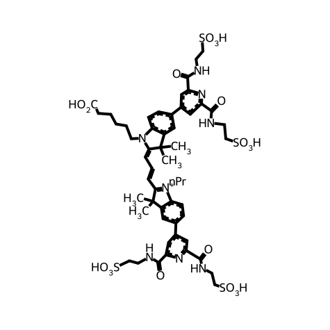 CCC[N+]1=C(/C=C/C=C2/N(CCCCCC(=O)O)c3ccc(-c4cc(C(=O)NCCS(=O)(=O)O)nc(C(=O)NCCS(=O)(=O)O)c4)cc3C2(C)C)C(C)(C)c2cc(-c3cc(C(=O)NCCS(=O)(=O)O)nc(C(=O)NCCS(=O)(=O)O)c3)ccc21